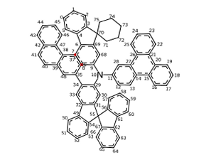 c1ccc2c(c1)-c1ccc(N(c3ccc4c5ccccc5c5ccccc5c4c3)c3cc4c(cc3-c3ccc5c(ccc6ccccc65)c3)-c3ccccc3C43c4ccccc4-c4ccccc43)cc1C21CCCCC1